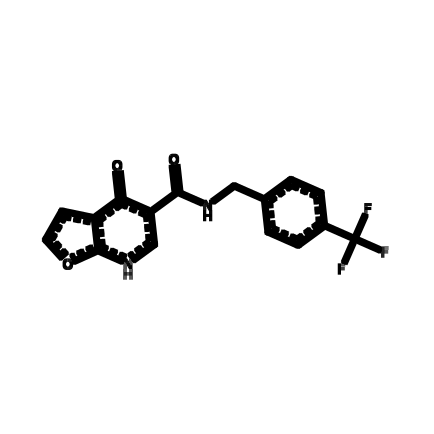 O=C(NCc1ccc(C(F)(F)F)cc1)c1c[nH]c2occc2c1=O